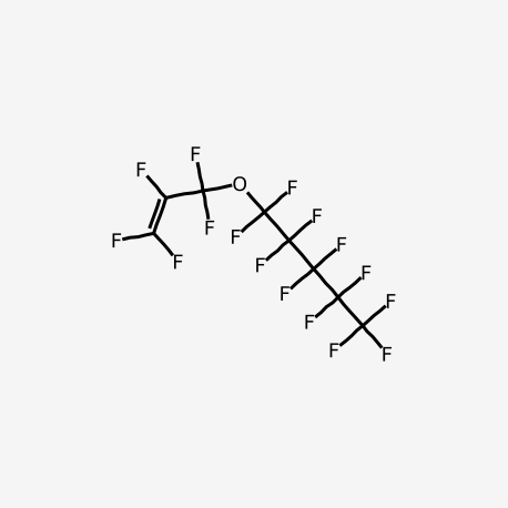 FC(F)=C(F)C(F)(F)OC(F)(F)C(F)(F)C(F)(F)C(F)(F)C(F)(F)F